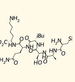 CCC(C)[C@H](NC(=O)[C@H](CO)NC(=O)[C@H](C)NC(=O)[C@@H](N)CS)C(=O)N[C@@H](CCC(N)=O)C(=O)N[C@@H](CCCCN)C(=O)O